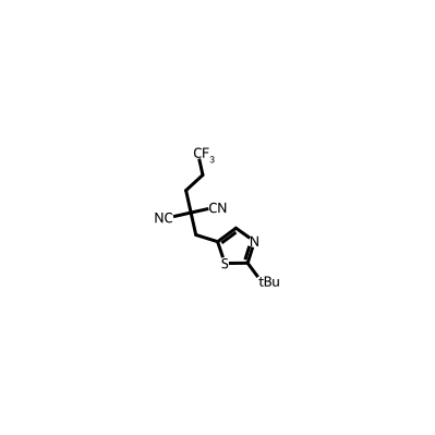 CC(C)(C)c1ncc(CC(C#N)(C#N)CCC(F)(F)F)s1